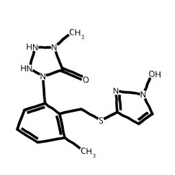 Cc1cccc(N2NNN(C)C2=O)c1CSc1ccn(O)n1